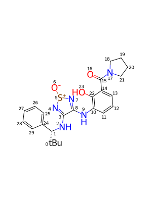 CC(C)(C)[C@@H](Nc1n[s+]([O-])nc1Nc1cccc(C(=O)N2CCCC2)c1O)c1ccccc1